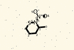 CC1CCCSN1[N+](=O)[O-]